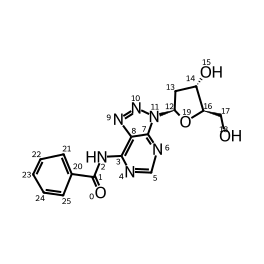 O=C(Nc1ncnc2c1nnn2[C@H]1C[C@H](O)[C@@H](CO)O1)c1ccccc1